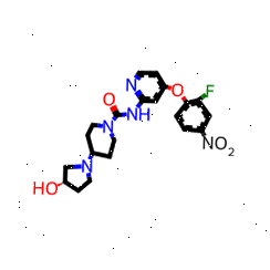 O=C(Nc1cc(Oc2ccc([N+](=O)[O-])cc2F)ccn1)N1CCC(N2CC[C@H](O)C2)CC1